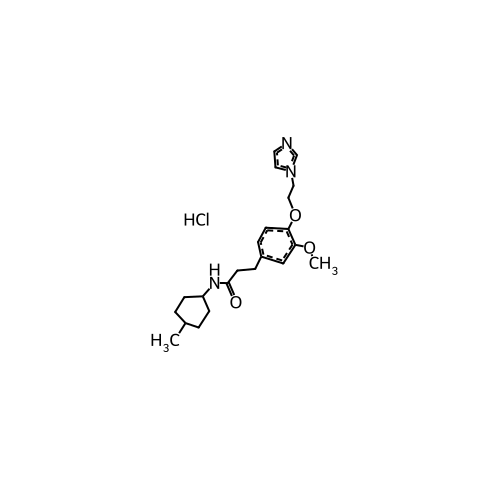 COc1cc(CCC(=O)NC2CCC(C)CC2)ccc1OCCn1ccnc1.Cl